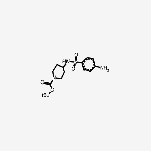 CC(C)(C)OC(=O)N1CCC(NS(=O)(=O)c2ccc(N)cc2)CC1